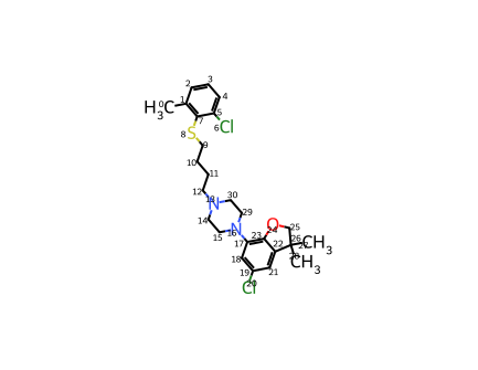 Cc1cccc(Cl)c1SCCCCN1CCN(c2cc(Cl)cc3c2OCC3(C)C)CC1